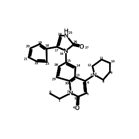 CCn1c(=O)cc(N2CCCCC2)c2cc(-n3c(-c4ccccc4)c[nH]c3=O)ccc21